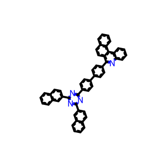 c1ccc2cc(-c3nc(-c4ccc(-c5ccc(-c6nc7ccccc7c7c6ccc6ccccc67)cc5)cc4)nc(-c4ccc5ccccc5c4)n3)ccc2c1